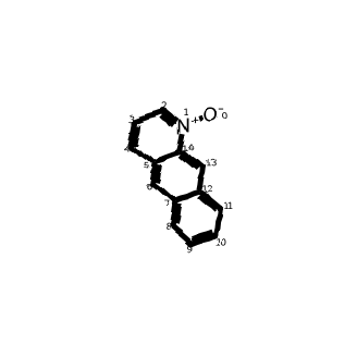 [O-][n+]1cccc2cc3ccccc3cc21